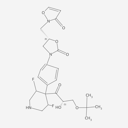 CC(C)(C)OC[C@H](O)C(=O)C1(c2ccc(N3C[C@H](Cn4occc4=O)OC3=O)cc2)C(F)CNCC1F